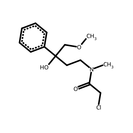 COCC(O)(CCN(C)C(=O)CCl)c1ccccc1